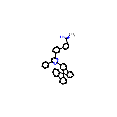 C/N=C(\N)c1cccc(-c2cccc(-c3cc(-c4ccccc4)nc(-c4ccc5c(c4)C4(c6ccccc6-c6ccccc64)c4ccccc4-5)n3)c2)c1